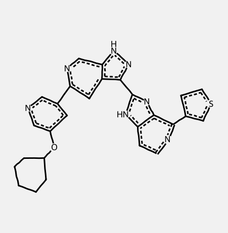 c1cc2[nH]c(-c3n[nH]c4cnc(-c5cncc(OC6CCCCC6)c5)cc34)nc2c(-c2ccsc2)n1